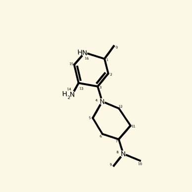 CC1C=C(N2CCC(N(C)C)CC2)C(N)=CN1